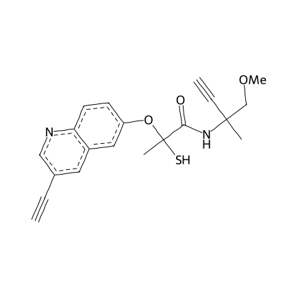 C#Cc1cnc2ccc(OC(C)(S)C(=O)NC(C)(C#C)COC)cc2c1